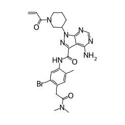 C=CC(=O)N1CCCC(n2nc(C(=O)Nc3cc(Br)c(CC(=O)N(C)C)cc3C)c3c(N)ncnc32)C1